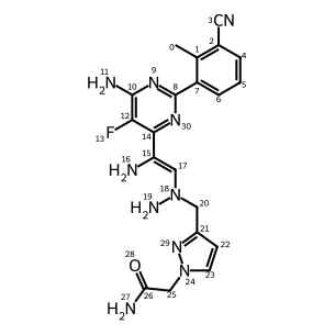 Cc1c(C#N)cccc1-c1nc(N)c(F)c(/C(N)=C/N(N)Cc2ccn(CC(N)=O)n2)n1